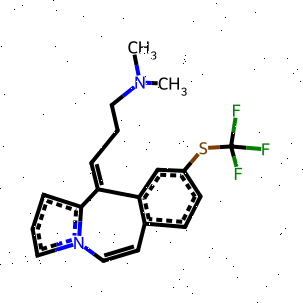 CN(C)CCC=C1c2cc(SC(F)(F)F)ccc2C=Cn2cccc21